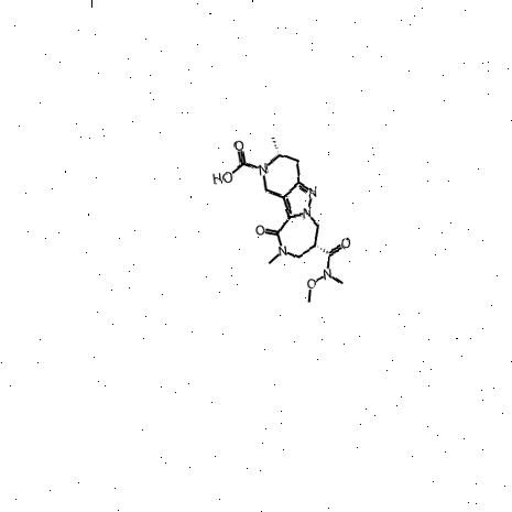 CON(C)C(=O)[C@@H]1CN(C)C(=O)c2c3c(nn2C1)C[C@@H](C)N(C(=O)O)C3